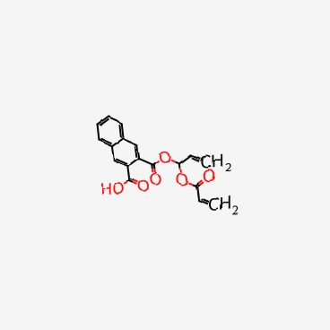 C=CC(=O)OC(C=C)OC(=O)c1cc2ccccc2cc1C(=O)O